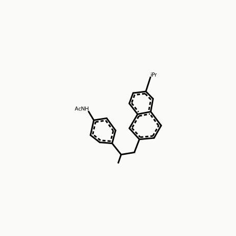 CC(=O)Nc1ccc(C(C)Cc2ccc3cc(C(C)C)ccc3c2)cc1